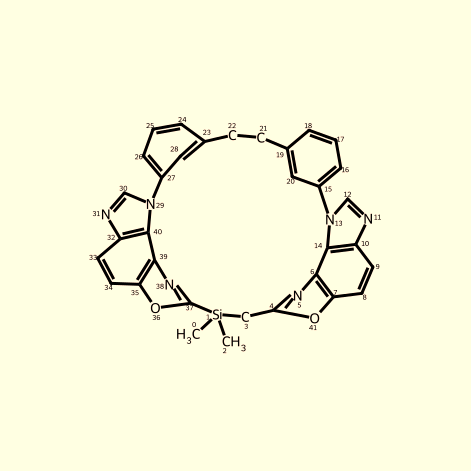 C[Si]1(C)Cc2nc3c(ccc4ncn(c43)-c3cccc(c3)CCc3cccc(c3)-n3cnc4ccc5oc1nc5c43)o2